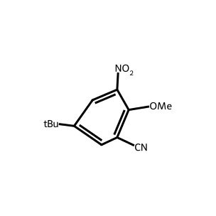 COc1c(C#N)cc(C(C)(C)C)cc1[N+](=O)[O-]